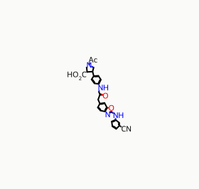 CC(=O)N1CC(C(=O)O)C(c2ccc(NCC(=O)Cc3ccc4nc(Nc5cccc(C#N)c5)oc4c3)cc2)C1